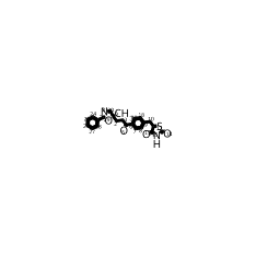 CC1(CCC(=O)c2ccc(CC3SC(=O)NC3=O)cc2)C=NC(c2ccccc2)O1